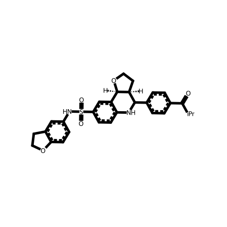 CC(C)C(=O)c1ccc(C2Nc3ccc(S(=O)(=O)Nc4ccc5c(c4)CCO5)cc3[C@H]3OCC[C@@H]23)cc1